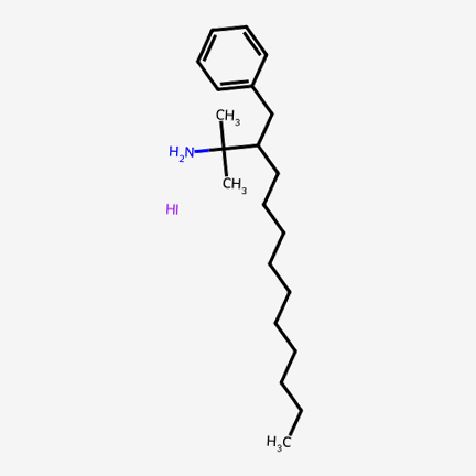 CCCCCCCCCCC(Cc1ccccc1)C(C)(C)N.I